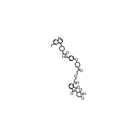 C[C@@H](C(=O)Nc1ccc(OC2CCN(C(=O)CCOCCNc3cccc4c3C(=O)N(C3CCC(=O)NC3=O)C4=O)CC2)cc1)C1CCC(c2ccnc3ccc(F)cc23)CC1